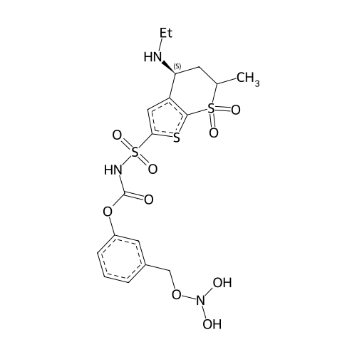 CCN[C@H]1CC(C)S(=O)(=O)c2sc(S(=O)(=O)NC(=O)Oc3cccc(CON(O)O)c3)cc21